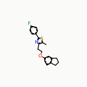 Cc1sc(-c2ccc(F)cc2)nc1CCOc1ccc2c(c1)CCC2